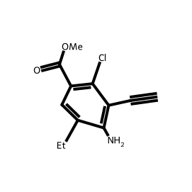 C#Cc1c(N)c(CC)cc(C(=O)OC)c1Cl